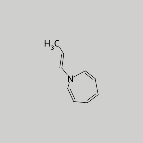 CC=CN1C=CC=CC=C1